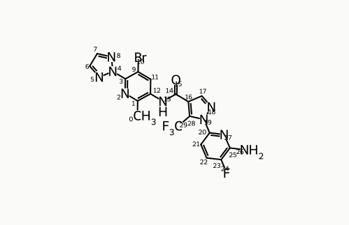 Cc1nc(-n2nccn2)c(Br)cc1NC(=O)c1cnn(-c2ccc(F)c(N)n2)c1C(F)(F)F